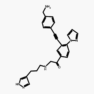 NCc1ccc(C#Cc2cc(C(=O)CNCCCc3cn[nH]c3)ccc2-n2cccn2)cc1